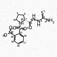 NC(=S)NNC(=O)[C@H]1CCCN1S(=O)(=O)c1ccccc1[N+](=O)[O-]